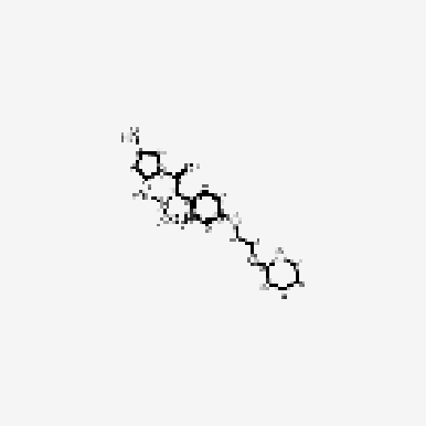 CC(C)(C)N(C(=O)O)[C@H](C(=O)N1CC[C@H](O)C1)c1ccc(OCCOC2CCCCO2)cc1